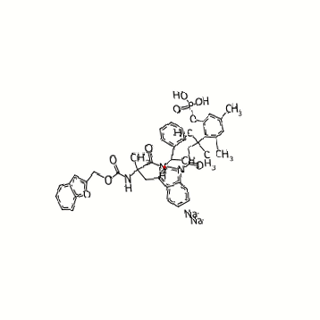 Cc1cc(C)c(C(C)(C)CC(=O)n2cc(CC(C)(NC(=O)OCc3cc4ccccc4o3)C(=O)NC(C)c3ccccc3)c3ccccc32)c(OP(=O)(O)O)c1.[Na].[Na]